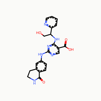 O=C1NCCc2cc(Nc3ncc(C(=O)O)c(NC(CO)c4ccccn4)n3)ccc21